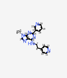 CC(C)n1cnc2c(NCCc3ccncc3)nc(-c3cccnc3)nc21